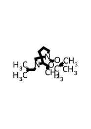 C=CC1N(CC(C)C)CC12CCCN2C(=O)OC(C)(C)C